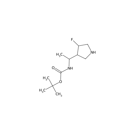 CC(NC(=O)OC(C)(C)C)C1CNCC1F